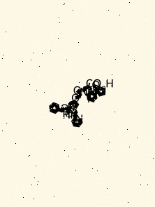 O=C(CO[C@@H]1C[C@@H](CNc2ccccn2)N(C(=O)OCc2ccccc2)C1)NC[C@H](NC(=O)C1(c2ccccc2)CCCC1)C(=O)O